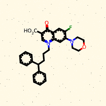 O=C(O)c1cn(CCCC(c2ccccc2)c2ccccc2)c2cc(N3CCOCC3)c(F)cc2c1=O